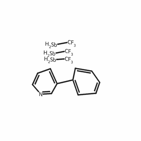 F[C](F)(F)[SbH2].F[C](F)(F)[SbH2].F[C](F)(F)[SbH2].c1ccc(-c2cccnc2)cc1